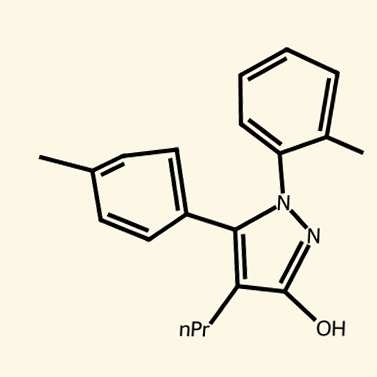 CCCc1c(O)nn(-c2ccccc2C)c1-c1ccc(C)cc1